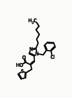 CCCCCCc1ncc(C=C(Cc2cccs2)C(=O)O)n1Cc1ccccc1Cl